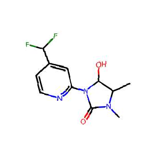 CC1C(O)N(c2cc(C(F)F)ccn2)C(=O)N1C